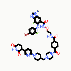 Cn1cnc2c(F)c(Nc3ccc(Br)cc3F)c(C(=O)NOCCNC(=O)C3CCC(C(=O)N4CCN(CC5CCN(c6ccc(C7CCC(=O)NC7=O)cn6)CC5)CC4)CC3)cc21